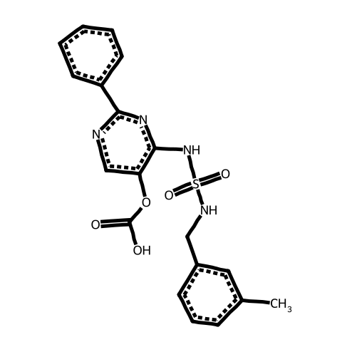 Cc1cccc(CNS(=O)(=O)Nc2nc(-c3ccccc3)ncc2OC(=O)O)c1